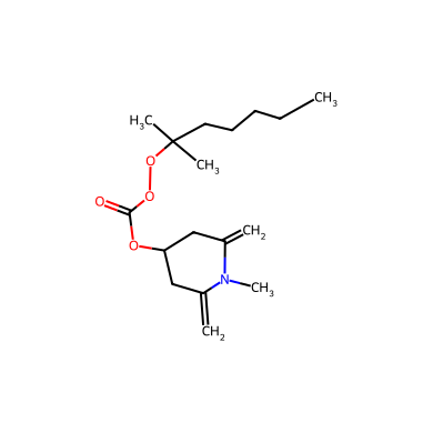 C=C1CC(OC(=O)OOC(C)(C)CCCCC)CC(=C)N1C